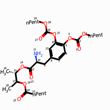 CCCCCOC(=O)Oc1ccc(C[C@H](N)C(=O)O[C@@H](C)C(C)OC(=O)CCCCC)cc1OC(=O)OCCCCC